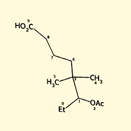 CCC(OC(C)=O)C(C)(C)CCCC(=O)O